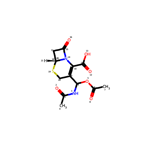 CC(=O)NC(OC(C)=O)C1=C(C(=O)O)N2C(=O)C[C@H]2SC1